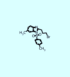 Cc1ccc(S(=O)(=O)n2c(CCCBr)nc3ccc(C)cc32)cc1